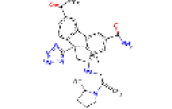 C=C(CN[C@@H](C)CC1(c2nn[nH]n2)c2ccc(C(N)=O)cc2-c2cc(C(=O)NC)ccc21)N1CCCC1C#N